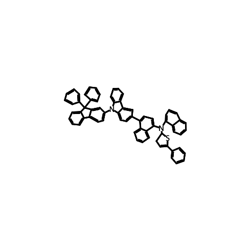 C1=C(c2ccccc2)SC(N(c2cccc3ccccc23)c2ccc(-c3ccc4c(c3)c3ccccc3n4-c3ccc4c(c3)C(c3ccccc3)(c3ccccc3)c3ccccc3-4)c3ccccc23)C1